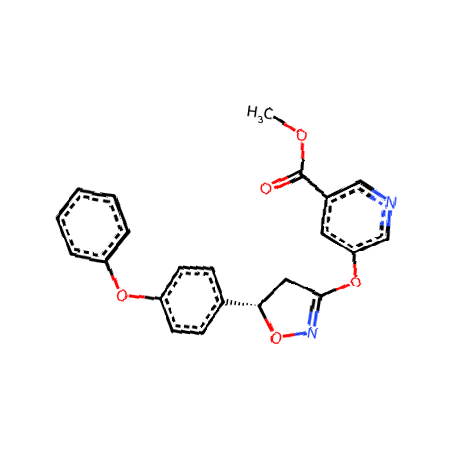 COC(=O)c1cncc(OC2=NO[C@H](c3ccc(Oc4ccccc4)cc3)C2)c1